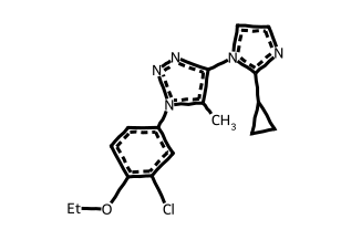 CCOc1ccc(-n2nnc(-n3ccnc3C3CC3)c2C)cc1Cl